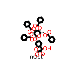 CCCCCCCCOc1c(O)c2ccc(O[C@@H]3O[C@H](COC(=O)c4ccccc4)[C@@H](OC(=O)c4ccccc4)[C@H](OC(=O)c4ccccc4)[C@H]3OC(=O)c3ccccc3)cc2oc1=O